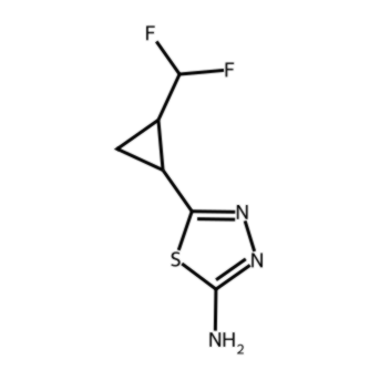 Nc1nnc(C2CC2C(F)F)s1